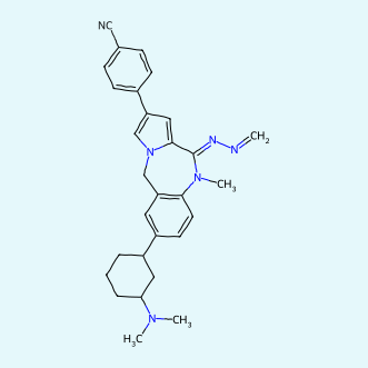 C=N/N=C1/c2cc(-c3ccc(C#N)cc3)cn2Cc2cc(C3CCCC(N(C)C)C3)ccc2N1C